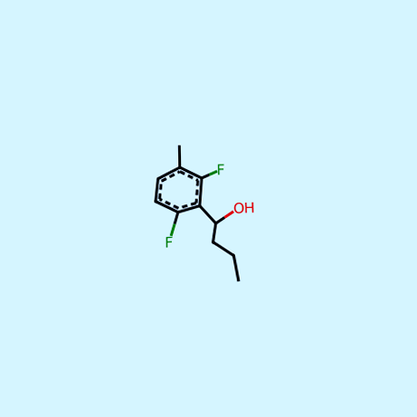 CCCC(O)c1c(F)ccc(C)c1F